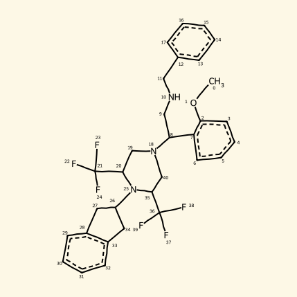 COc1ccccc1C(CNCc1ccccc1)N1CC(C(F)(F)F)N(C2Cc3ccccc3C2)C(C(F)(F)F)C1